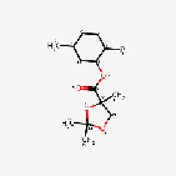 CC1CCC(C(C)C)C(OC(=O)C2(C)COC(C)(C)O2)C1